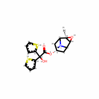 CN1C2C[C@H](OC(=O)C(O)(c3cccs3)c3cccs3)CC1[C@H]1OC21